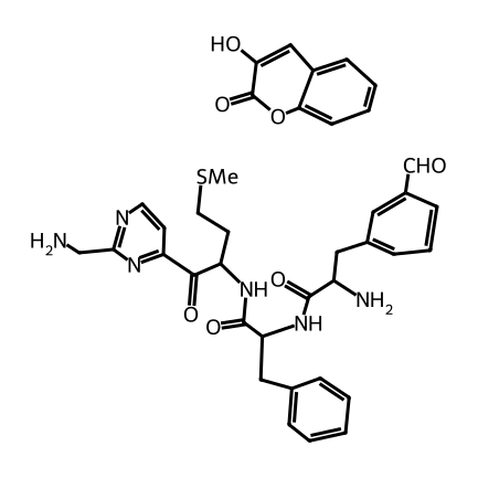 CSCCC(NC(=O)C(Cc1ccccc1)NC(=O)C(N)Cc1cccc(C=O)c1)C(=O)c1ccnc(CN)n1.O=c1oc2ccccc2cc1O